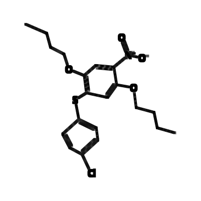 CCCCOc1cc([N+](=O)[O-])c(OCCCC)cc1Sc1ccc(Cl)cc1